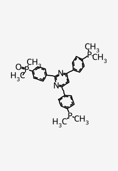 CP(C)c1ccc(-c2cc(-c3ccc(P(C)C)cc3)nc(-c3ccc(P(C)(C)=O)cc3)n2)cc1